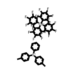 Cc1ccc([S+](c2ccccc2)c2ccc(C)cc2)cc1.Fc1c(F)c(F)[c]([Ga-]([c]2c(F)c(F)c(F)c(F)c2F)([c]2c(F)c(F)c(F)c(F)c2F)[c]2c(F)c(F)c(F)c(F)c2F)c(F)c1F